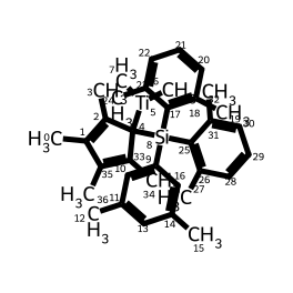 CC1=C(C)[C]([Ti]([CH3])[CH3])([Si](c2cc(C)cc(C)c2)(c2c(C)cccc2C)c2c(C)cccc2C)C(C)=C1C